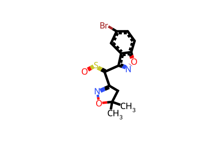 CC1(C)CC(C(=S=O)c2noc3ccc(Br)cc23)=NO1